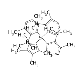 CC1=C(C)C(C)C([Si](c2cccc(C)c2N(C)C)(c2cccc(C)c2N(C)C)c2cccc(C)c2N(C)C)=C1C